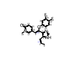 C/C=C\c1[nH]cnc1/C(=C/c1ccc(=O)n(C)c1)Oc1ccc(F)c(F)c1